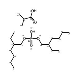 CC(Cl)C(=O)O.CCCCC(CC)COP(=O)(O)OCC(CC)CCCC